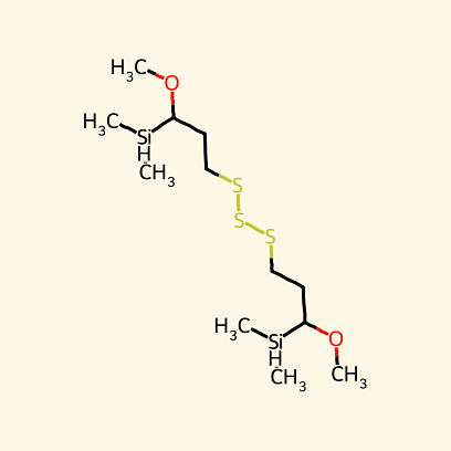 COC(CCSSSCCC(OC)[SiH](C)C)[SiH](C)C